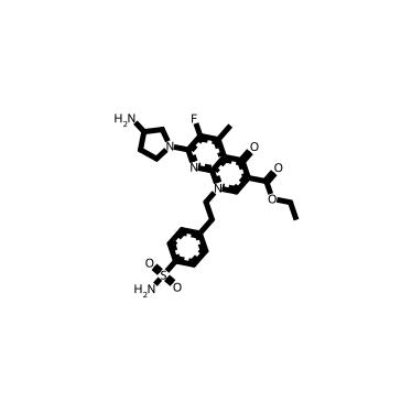 CCOC(=O)c1cn(CCc2ccc(S(N)(=O)=O)cc2)c2nc(N3CCC(N)C3)c(F)c(C)c2c1=O